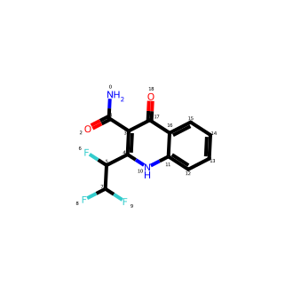 NC(=O)c1c(C(F)C(F)F)[nH]c2ccccc2c1=O